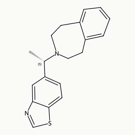 C[C@@H](c1ccc2scnc2c1)N1CCc2ccccc2CC1